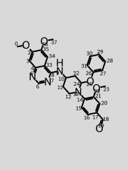 COc1cc2ncnc(NC3CCN(c4ccc(C=O)cc4OC)C(Oc4ccccc4)C3)c2cc1OC